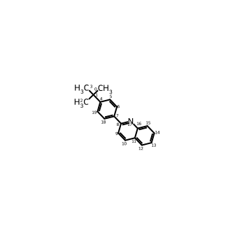 CC(C)(C)c1ccc(-c2ccc3ccccc3n2)cc1